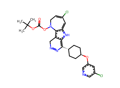 CC(C)(C)OC(=O)ON1CC=C(Cl)C=c2[nH]c3c(c21)CN=NC=3[C@H]1CC[C@H](Oc2cncc(Cl)c2)CC1